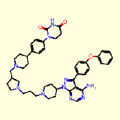 Nc1ncnc2c1c(-c1ccc(Oc3ccccc3)cc1)nn2C1CCN(CCCN2CCC(CN3CCC(c4ccc(N5CCC(=O)NC5=O)cc4)CC3)C2)CC1